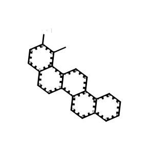 Cc1c(O)ccc2ccc3c4ccc5ccccc5c4ccc3c12